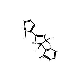 Cc1ccccc1C1=NC(F)(F)C(F)(c2ccccc2C)S1